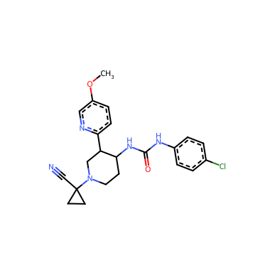 COc1ccc(C2CN(C3(C#N)CC3)CCC2NC(=O)Nc2ccc(Cl)cc2)nc1